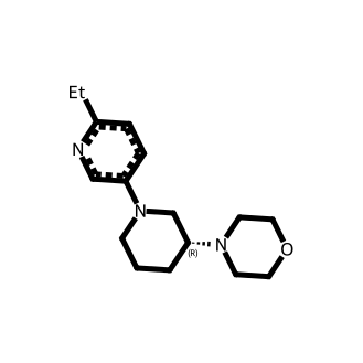 CCc1ccc(N2CCC[C@@H](N3CCOCC3)C2)cn1